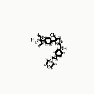 CC(CI)(NI)c1ccc(-c2nc(Nc3ccc(CCN4CCOCC4)cc3)ncc2Cl)cc1